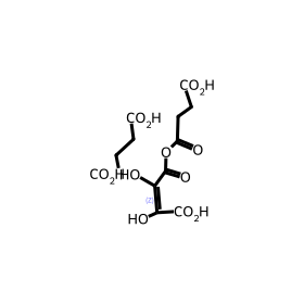 O=C(O)CCC(=O)O.O=C(O)CCC(=O)OC(=O)/C(O)=C(/O)C(=O)O